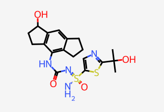 CC(C)(O)c1ncc([S@@](N)(=O)=NC(=O)Nc2c3c(cc4c2CCC4O)CCC3)s1